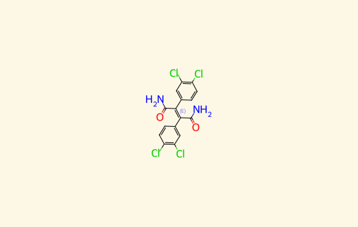 NC(=O)/C(=C(/C(N)=O)c1ccc(Cl)c(Cl)c1)c1ccc(Cl)c(Cl)c1